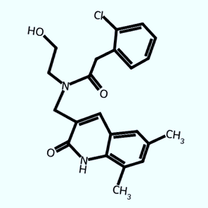 Cc1cc(C)c2[nH]c(=O)c(CN(CCO)C(=O)Cc3ccccc3Cl)cc2c1